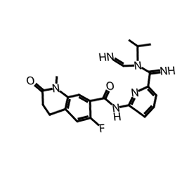 CC(C)N(C=N)C(=N)c1cccc(NC(=O)c2cc3c(cc2F)CCC(=O)N3C)n1